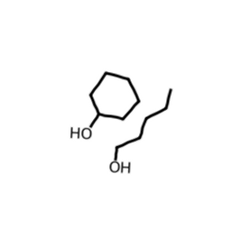 CCCCCO.OC1CCCCC1